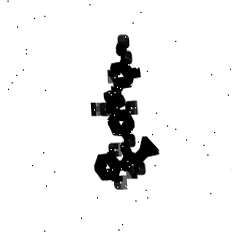 Cc1cc(N2CC(O)(c3ccc(OCc4c(-c5c(Cl)cccc5Cl)noc4C4CC4)cc3Cl)C2)ncc1OC=O